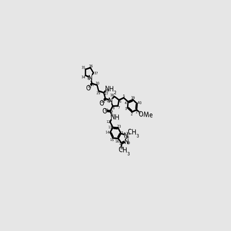 COc1ccc(CC2CC(C(=O)NCc3ccc4c(C)nn(C)c4c3)N(C(=O)C(N)CCC(=O)N3CCCC3)C2)cc1